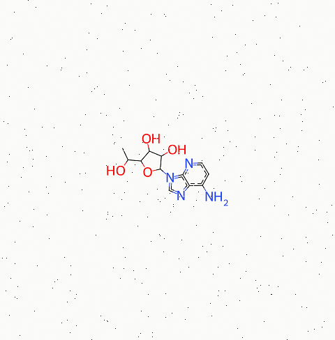 CC(O)C1OC(n2cnc3c(N)ccnc32)C(O)C1O